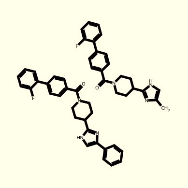 Cc1c[nH]c(C2CCN(C(=O)c3ccc(-c4ccccc4F)cc3)CC2)n1.O=C(c1ccc(-c2ccccc2F)cc1)N1CCC(c2nc(-c3ccccc3)c[nH]2)CC1